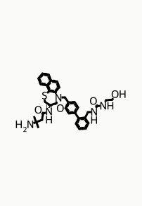 CC(C)(N)CC(=O)N[C@@H]1CSc2c(ccc3ccccc23)N(Cc2ccc(-c3ccccc3CNC(=O)NCCO)cc2)C1=O